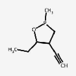 C#CC1CP(C)OC1CC